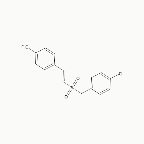 O=S(=O)(/C=C/c1ccc(C(F)(F)F)cc1)Cc1ccc(Cl)cc1